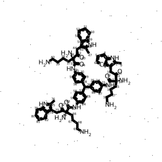 Cc1[nH]c2ccccc2c1CC(=O)[C@@](N)(CCCCN)C(=O)Nc1ccc(C(c2ccc(NC(=O)[C@](N)(CCCCN)C(=O)Cc3c(C)[nH]c4ccccc34)cc2)c2ccc(NC(=O)[C@](N)(CCCCN)C(=O)Cc3c(C)[nH]c4ccccc34)cc2)cc1